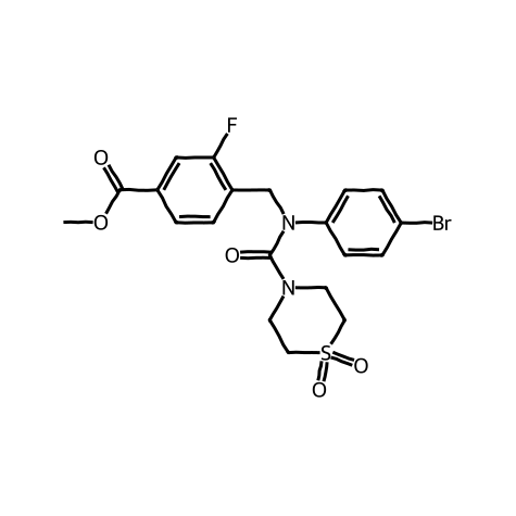 COC(=O)c1ccc(CN(C(=O)N2CCS(=O)(=O)CC2)c2ccc(Br)cc2)c(F)c1